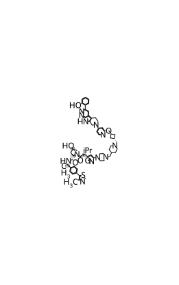 Cc1ncsc1-c1ccc([C@H](C)NC(=O)[C@@H]2C[C@@H](O)CN2C(=O)[C@@H](c2cc(N3CCN(CC4CCN(C[C@H]5C[C@H](Oc6cc(N7CCc8c([nH]c9nnc(-c%10ccccc%10O)cc89)C7)ccn6)C5)CC4)CC3)no2)C(C)C)cc1